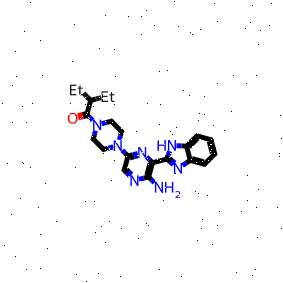 CCC(CC)C(=O)N1CCN(c2cnc(N)c(-c3nc4ccccc4[nH]3)n2)CC1